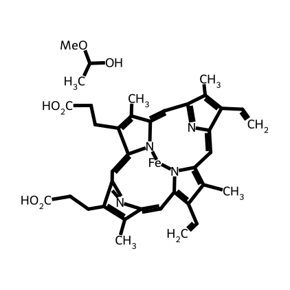 C=CC1=C(C)C2=NC/1=C\c1c(C)c(C=C)c3[n]1[Fe][n]1/c(c(C)c(CCC(=O)O)/c1=C/C1=NC(=C\3)/C(C)=C1CCC(=O)O)=C\2.[CH2]OC(C)O